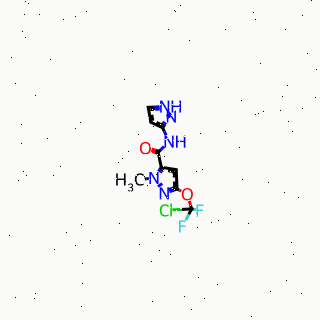 Cn1nc(OC(F)(F)Cl)cc1C(=O)Nc1cc[nH]n1